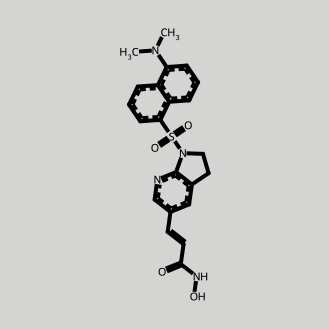 CN(C)c1cccc2c(S(=O)(=O)N3CCc4cc(/C=C/C(=O)NO)cnc43)cccc12